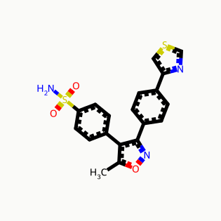 Cc1onc(-c2ccc(-c3cscn3)cc2)c1-c1ccc(S(N)(=O)=O)cc1